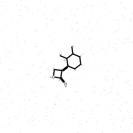 CC1CCCC(=C2COC2=O)C1C